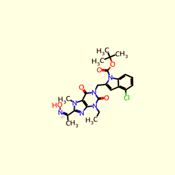 CCn1c(=O)n(Cc2cc3c(Cl)cccc3n2C(=O)OC(C)(C)C)c(=O)c2c1nc(/C(C)=N\O)n2C